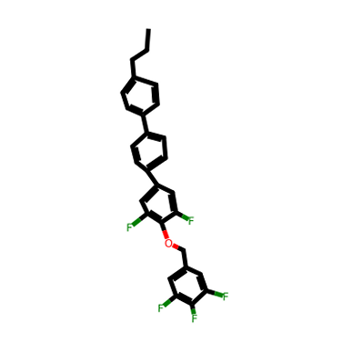 CCCc1ccc(-c2ccc(-c3cc(F)c(OCc4cc(F)c(F)c(F)c4)c(F)c3)cc2)cc1